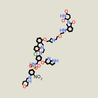 O=C1CCC(N2Cc3c(NCCOCCN4CC(COc5cccc(-c6ccc(Cl)cc6)c5CN5CCN(c6ccc(C(=O)NS(=O)(=O)c7ccc(NCC8CCOCC8)c([N+](=O)[O-])c7)c(Oc7cnc8[nH]ccc8c7)c6)CC5)C4)cccc3C2=O)C(=O)N1